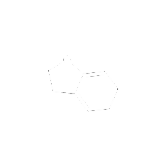 C1=C2CCOC2=CCC1